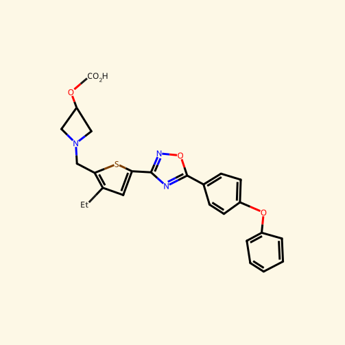 CCc1cc(-c2noc(-c3ccc(Oc4ccccc4)cc3)n2)sc1CN1CC(OC(=O)O)C1